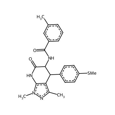 CSc1ccc(C2c3c(C)nn(C)c3NC(=O)C2NC(=O)c2cccc(C)c2)cc1